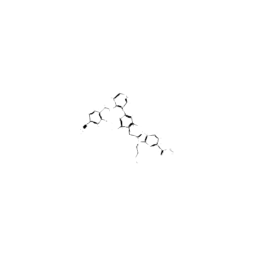 COCCn1c(Cc2c(F)cc(-c3cnccc3OCc3ccc(C#N)cc3F)cc2F)nc2ccc(C(=O)OC)cc21